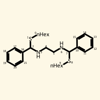 CCCCCCSC(NCCNC(SCCCCCC)c1ccccc1)c1ccccc1